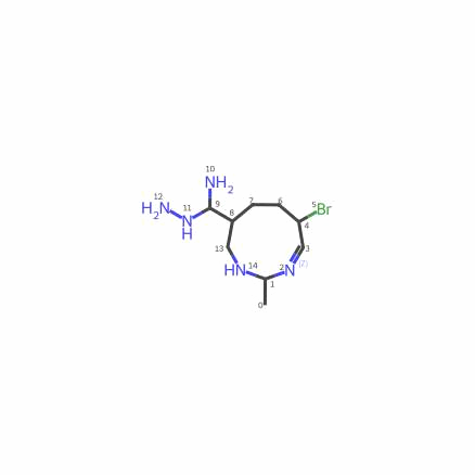 CC1/N=C\C(Br)CCC(C(N)NN)CN1